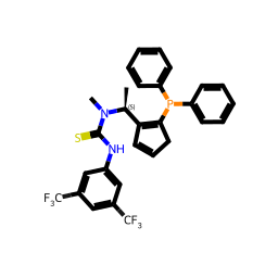 C[C@@H](C1=C(P(c2ccccc2)c2ccccc2)CC=C1)N(C)C(=S)Nc1cc(C(F)(F)F)cc(C(F)(F)F)c1